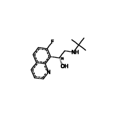 CC(C)(C)NC[C@H](O)c1c(F)ccc2cccnc12